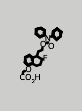 O=C(O)COc1cccc2c1CCC(F)C2CCOC(=O)N(c1ccccc1)c1ccccc1